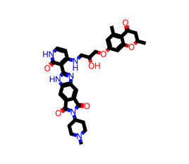 Cc1cc(OCC(O)CNc2cc[nH]c(=O)c2-c2nc3cc4c(cc3[nH]2)C(=O)N(C2CCN(C)CC2)C4=O)cc2c1C(=O)CC(C)O2